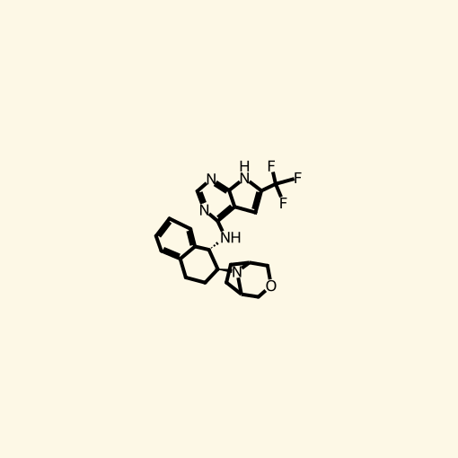 FC(F)(F)c1cc2c(N[C@H]3c4ccccc4CC[C@@H]3N3C4CCC3COC4)ncnc2[nH]1